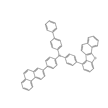 c1ccc(-c2ccc(N(c3ccc(-c4ccc5c(ccc6ccccc65)c4)cc3)c3ccc(-c4cccc5oc6c7ccccc7ccc6c45)cc3)cc2)cc1